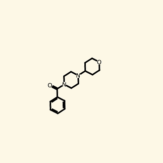 O=C(c1ccccc1)N1CCN(C2CCOCC2)CC1